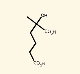 CC(O)(CCCC(=O)O)C(=O)O